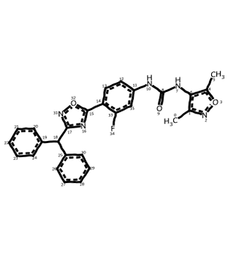 Cc1noc(C)c1NC(=O)Nc1ccc(-c2nc(C(c3ccccc3)c3ccccc3)no2)c(F)c1